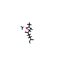 CCC(CS)C(C)(C)C(C)(C)C(C(N)=O)C(C)(C)C(C)(N)C(C(=O)NC(C)C)C(C)(C)C